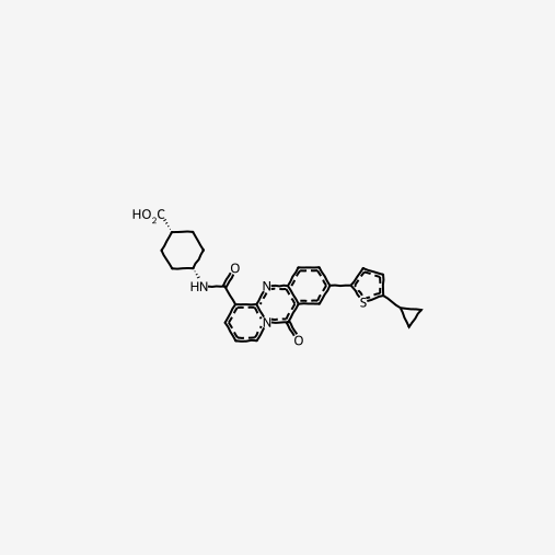 O=C(N[C@H]1CC[C@@H](C(=O)O)CC1)c1cccn2c(=O)c3cc(-c4ccc(C5CC5)s4)ccc3nc12